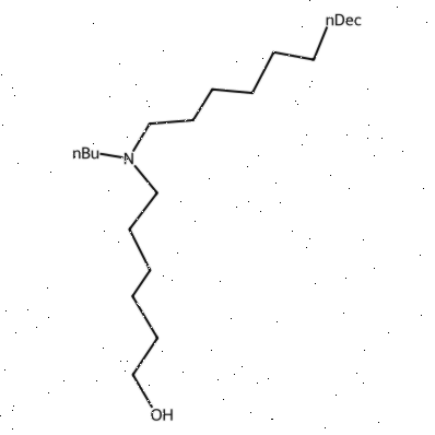 CCCCCCCCCCCCCCCCN(CCCC)CCCCCCO